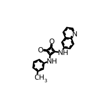 Cc1cccc(Nc2c(Nc3ccc4ncccc4c3)c(=O)c2=O)c1